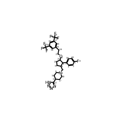 Fc1ccc(C2C(CN3CCC(c4nnn[nH]4)CC3)CCC2OCCc2cc(C(F)(F)F)cc(C(F)(F)F)c2)cc1